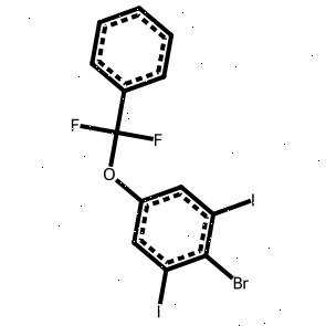 FC(F)(Oc1cc(I)c(Br)c(I)c1)c1ccccc1